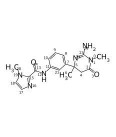 CN1C(=O)CC(C)(c2cccc(NC(=O)c3nccn3C)c2)N=C1N